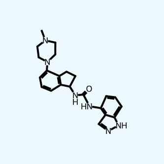 CN1CCN(c2cccc3c2CCC3NC(=O)Nc2cccc3[nH]ncc23)CC1